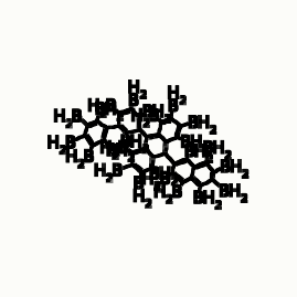 Bc1c(B)c(B)c(-c2c(B)c(B)c(B)c(-c3c4c(B)c(B)c(B)c(B)c4c(-c4c(B)c(B)c5c(B)c(B)c(B)c(B)c5c4B)c4c(B)c(B)c(B)c(B)c34)c2B)c(B)c1B